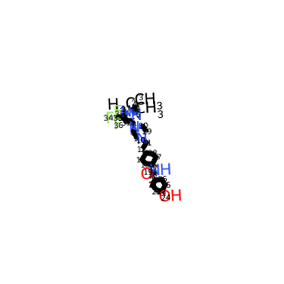 CC(C)(C)c1nc(N2CCN(CC[C@H]3CC[C@@H](NC(=O)[C@H]4CC[C@H](O)CC4)CC3)CC2)cc(C(F)(F)F)n1